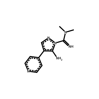 CN(C)C(=N)n1ncc(-c2ccncc2)c1N